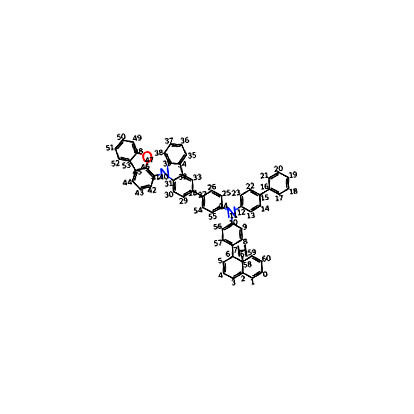 C1=CC2=CC=CC(c3ccc(N(c4ccc(-c5ccccc5)cc4)c4ccc(-c5ccc6c(c5)c5ccccc5n6-c5cccc6c5oc5ccccc56)cc4)cc3)[C@@H]2C=C1